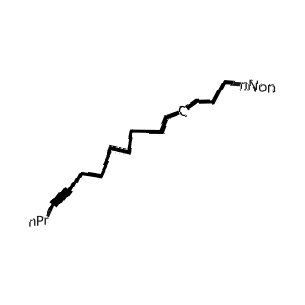 [CH2]CCC#CCCCCCCCCCCCCCCCCCCC[CH2]